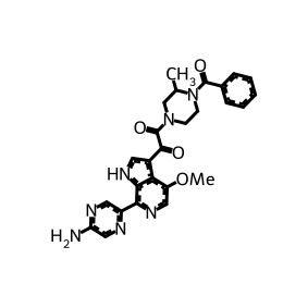 COc1cnc(-c2cnc(N)cn2)c2[nH]cc(C(=O)C(=O)N3CCN(C(=O)c4ccccc4)C(C)C3)c12